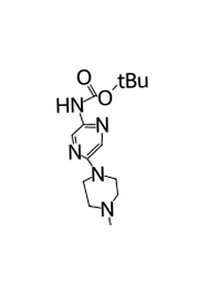 CN1CCN(c2cnc(NC(=O)OC(C)(C)C)cn2)CC1